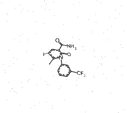 Cc1c(I)cc(C(N)=O)c(=O)n1-c1cccc(C(F)(F)F)c1